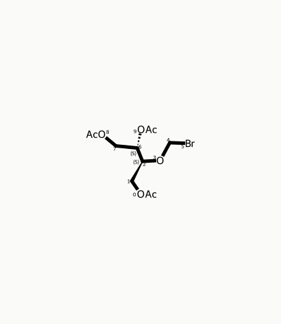 CC(=O)OC[C@H](OCBr)[C@H](COC(C)=O)OC(C)=O